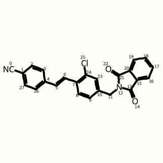 N#Cc1ccc(/C=C/c2ccc(CN3C(=O)c4ccccc4C3=O)cc2Cl)cc1